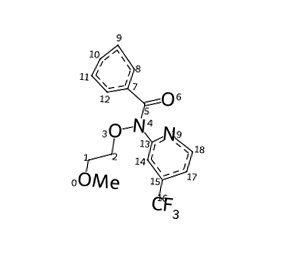 COCCON(C(=O)c1ccccc1)c1cc(C(F)(F)F)ccn1